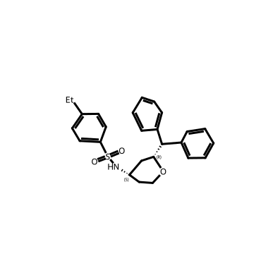 CCc1ccc(S(=O)(=O)N[C@H]2CCO[C@@H](C(c3ccccc3)c3ccccc3)C2)cc1